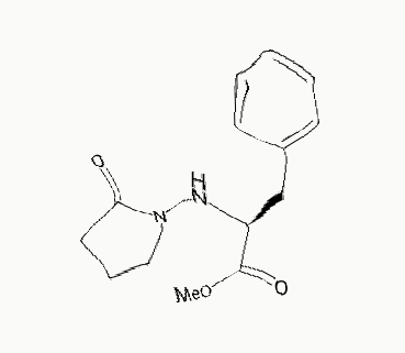 COC(=O)[C@H](Cc1ccccc1)NN1CCCC1=O